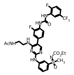 CCOC(=O)N=S(C)(=O)c1cccc(Nc2ncc(-c3ccc(NC(=O)Nc4cc(C(F)(F)F)ccc4F)c(F)c3)c(NCCNC(C)=O)n2)c1